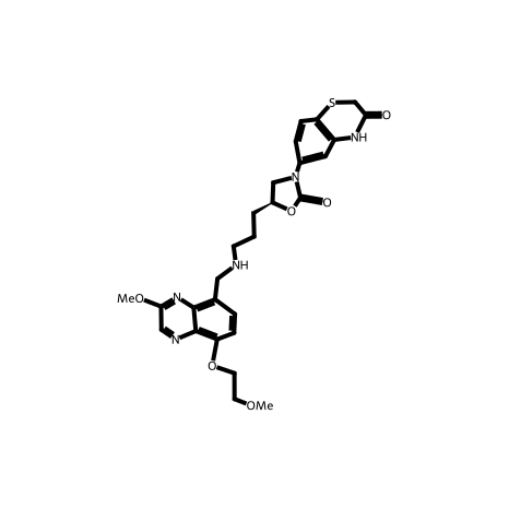 COCCOc1ccc(CNCCC[C@H]2CN(c3ccc4c(c3)NC(=O)CS4)C(=O)O2)c2nc(OC)cnc12